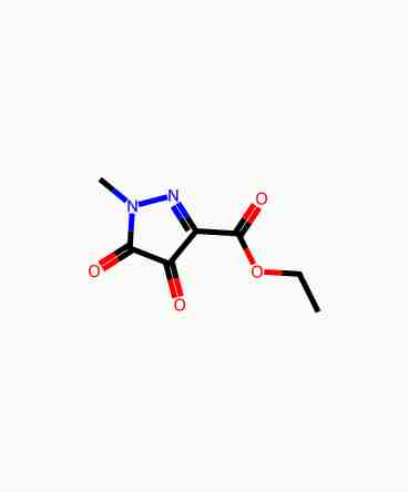 CCOC(=O)C1=NN(C)C(=O)C1=O